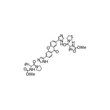 COC(=O)N[C@H](C(=O)N1CCC[C@H]1c1ncc(-c2ccc3c(=O)c4cc(-c5cnc([C@@H]6CSCN6C(=O)[C@@H](NC(=O)OC)C(C)C)[nH]5)ccc4oc3c2)[nH]1)C(C)C